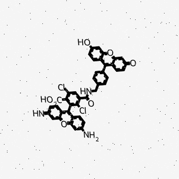 N=c1ccc2c(-c3c(Cl)c(C(=O)NCc4ccc(-c5c6ccc(=O)cc-6oc6cc(O)ccc56)cc4)cc(Cl)c3C(=O)O)c3ccc(N)cc3oc-2c1